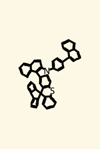 c1ccc2c(c1)Sc1cc3c(cc1C21c2ccccc2-c2ccccc21)c1c2ccccc2ccc1n3-c1ccc(-c2cccc3ccccc23)cc1